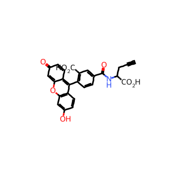 C#CCC(NC(=O)c1ccc(-c2c3ccc(=O)cc-3oc3cc(O)ccc23)c(C(=O)O)c1)C(=O)O